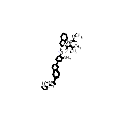 COC(=O)N[C@H](C(=O)N1C2CCCCC2C[C@H]1/C=N/c1ccc(-c2ccc3cc(-c4cnc([C@@H]5CCCN5)[nH]4)ccc3c2)cc1N)C(C)C